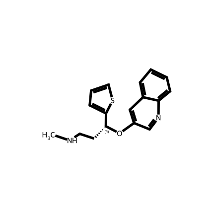 CNCC[C@@H](Oc1cnc2ccccc2c1)c1cccs1